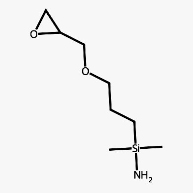 C[Si](C)(N)CCCOCC1CO1